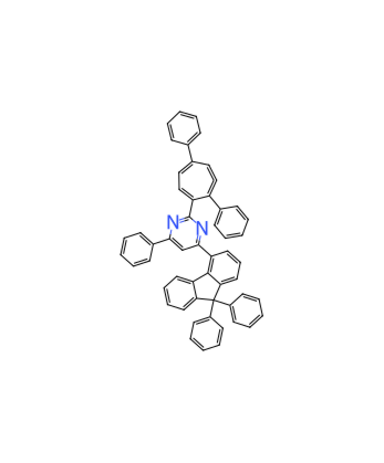 C1=CC(c2ccccc2)=CC=C(c2nc(-c3ccccc3)cc(-c3cccc4c3-c3ccccc3C4(c3ccccc3)c3ccccc3)n2)C=1c1ccccc1